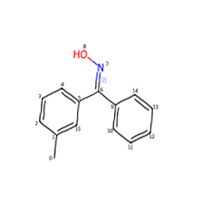 Cc1cccc(/C(=N\O)c2ccccc2)c1